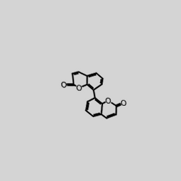 O=c1ccc2cccc(-c3cccc4ccc(=O)oc34)c2o1